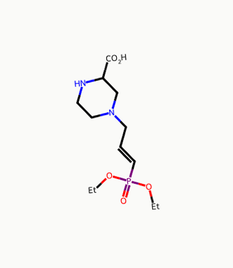 CCOP(=O)(C=CCN1CCNC(C(=O)O)C1)OCC